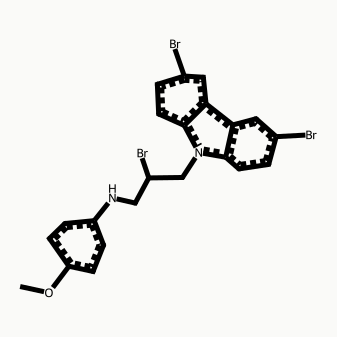 COc1ccc(NCC(Br)Cn2c3ccc(Br)cc3c3cc(Br)ccc32)cc1